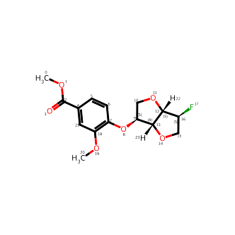 COC(=O)c1ccc(O[C@H]2CO[C@H]3[C@@H]2OC[C@@H]3F)c(OC)c1